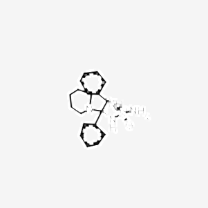 N[C@@H](c1ccccc1)[C@@](NS(N)(=O)=O)(c1ccccc1)N1CCCCC1